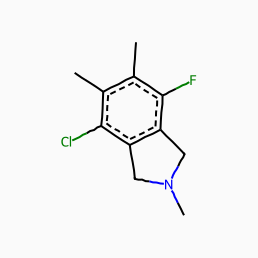 Cc1c(C)c(Cl)c2c(c1F)CN(C)C2